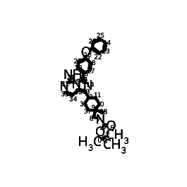 CC(C)(C)OC(=O)N1CC2(CCC(c3nc(-c4ccc(Oc5ccccc5)cc4)n4c(N)nccc34)CC2)C1